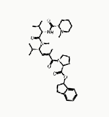 C/C(=C\[C@H](C(C)C)N(C)C(=O)[C@@H](NC(=O)[C@H]1CCCCN1C)C(C)C)C(=O)N1CCC[C@H]1C(=O)O[C@@H]1CCc2ccccc21